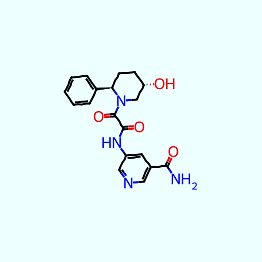 NC(=O)c1cncc(NC(=O)C(=O)N2C[C@@H](O)CC[C@@H]2c2ccccc2)c1